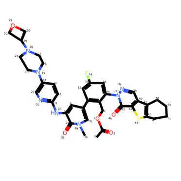 CC(=O)OCc1c(-c2cc(Nc3ccc(N4CCN(C5COC5)CC4)cn3)c(=O)n(C)c2)cc(F)cc1-n1ncc2c3c(sc2c1=O)CCCC3